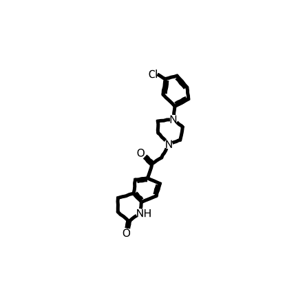 O=C1CCc2cc(C(=O)CN3CCN(c4cccc(Cl)c4)CC3)ccc2N1